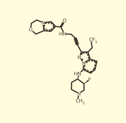 CN1CC[C@@H](Nc2cccc3c(CC(F)(F)F)c(C#CCNC(=O)c4cc5n(c4)CCOC5)nn23)[C@@H](F)C1